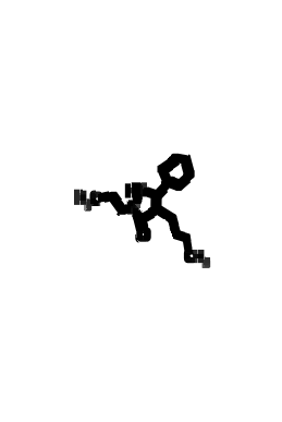 CCCCc1c(-c2ccccc2)[nH]n(CCC)c1=O